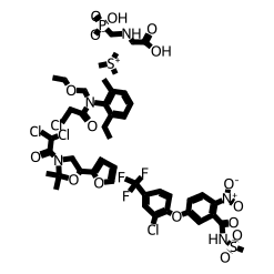 CC1(C)OC(c2ccco2)CN1C(=O)C(Cl)Cl.CCOCN(C(=O)CCl)c1c(C)cccc1CC.CS(=O)(=O)NC(=O)c1cc(Oc2ccc(C(F)(F)F)cc2Cl)ccc1[N+](=O)[O-].C[S+](C)C.O=C(O)CNCP(=O)([O-])O